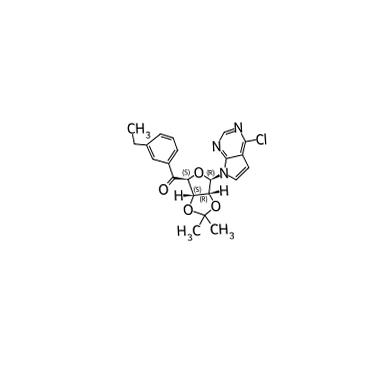 CCc1cccc(C(=O)[C@H]2O[C@@H](n3ccc4c(Cl)ncnc43)[C@@H]3OC(C)(C)O[C@@H]32)c1